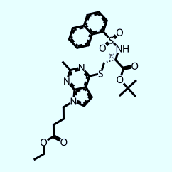 CCOC(=O)CCCn1ccc2c(SC[C@H](NS(=O)(=O)c3cccc4ccccc34)C(=O)OC(C)(C)C)nc(C)nc21